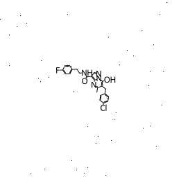 Cc1nc2c(C(=O)NCCc3ccc(F)cc3)cnn2c(O)c1Cc1ccc(Cl)cc1